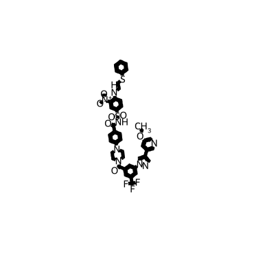 CCOc1cncc(-c2cnn(-c3cc(C(=O)N4CCN(c5ccc(C(=O)NS(=O)(=O)c6ccc(NCCSc7ccccc7)c([N+](=O)[O-])c6)cc5)CC4)cc(C(F)(F)F)c3)c2)c1